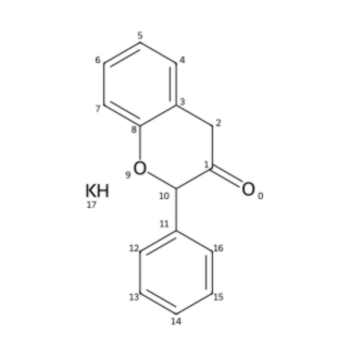 O=C1Cc2ccccc2OC1c1ccccc1.[KH]